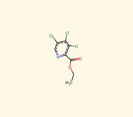 CCOC(=O)c1ncc(Cl)c(Cl)c1Cl